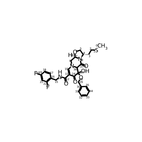 CSCC[C@H]1CO[C@@H]2CN3C=C(C(=O)NCc4ccc(F)cc4F)C(=O)C(O)(OCc4ccccc4)C3C(=O)N12